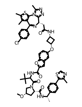 CO[C@H]1C[C@@H](C(=O)N[C@@H](C)c2ccc(-c3scnc3C)cc2)N(C(=O)C(NC(=O)c2cc3cc(O[C@H]4C[C@@H](NC(=O)C[C@@H]5N=C(c6ccc(Cl)cc6)c6c(sc(C)c6C)-n6c(C)nnc65)C4)ccc3o2)C(C)(C)C)C1